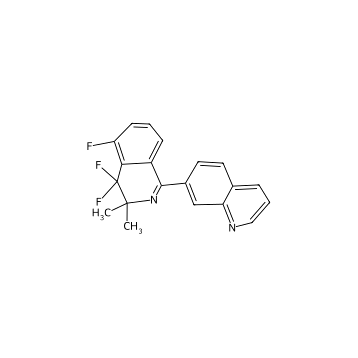 CC1(C)N=C(c2ccc3cccnc3c2)c2cccc(F)c2C1(F)F